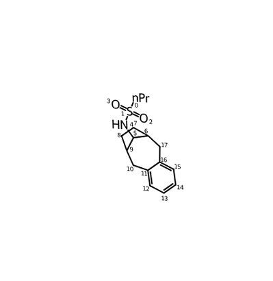 CCCS(=O)(=O)NC1C2CCC1Cc1ccccc1C2